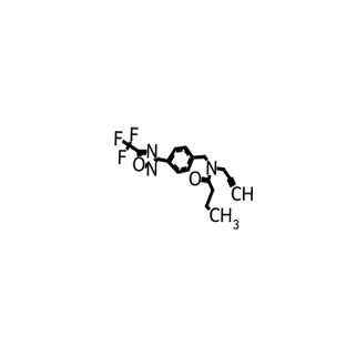 C#CCN(Cc1ccc(-c2noc(C(F)(F)F)n2)cc1)C(=O)CCC